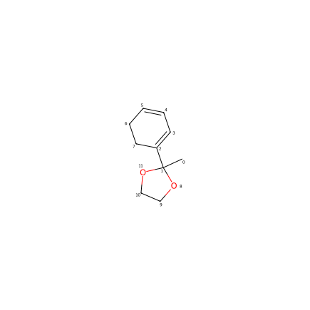 CC1(C2=CC=CCC2)OCCO1